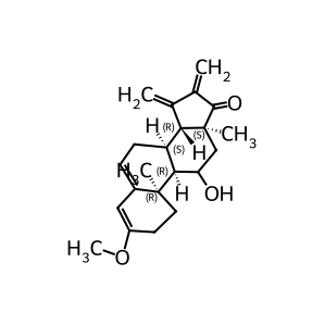 C=C1C(=C)[C@H]2[C@@H]3CC=C4C=C(OC)CC[C@]4(C)[C@@H]3C(O)C[C@]2(C)C1=O